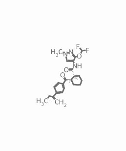 C=C(CC)c1ccc(C(=O)[C@@H]2CCCC[C@H]2C(=O)Nc2cn(C)nc2OC(F)F)cc1